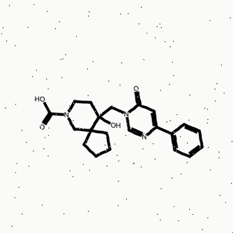 O=C(O)N1CCC(O)(Cn2cnc(-c3ccccc3)cc2=O)C2(CCCC2)C1